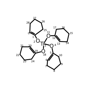 C1=C([O][Ti]([O]C2=CCCCC2)([O]C2=CCCCC2)[O]C2=CCCCC2)CCCC1